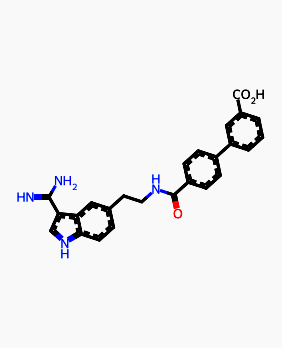 N=C(N)c1c[nH]c2ccc(CCNC(=O)c3ccc(-c4cccc(C(=O)O)c4)cc3)cc12